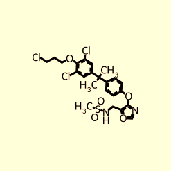 CC(C)(c1ccc(Oc2ncoc2CNS(C)(=O)=O)cc1)c1cc(Cl)c(OCCCCl)c(Cl)c1